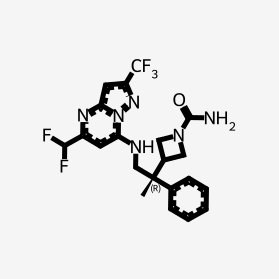 C[C@](CNc1cc(C(F)F)nc2cc(C(F)(F)F)nn12)(c1ccccc1)C1CN(C(N)=O)C1